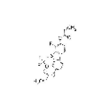 C=CC(=O)Oc1ccc2c(sc3c(OC(F)(F)F)c(OC(=O)C=C)ccc32)c1F